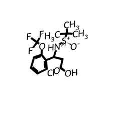 CC(C)(C)[S@+]([O-])NC(CC(=O)O)c1c(Cl)cccc1OC(F)(F)F